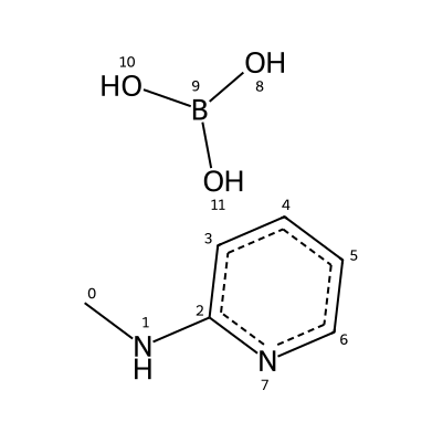 CNc1ccccn1.OB(O)O